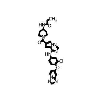 C=CC(=O)NC1CCN(C(=O)c2cc3c(Nc4ccc(Oc5ccn6ncnc6c5)c(Cl)c4)ncnn3c2)CC1